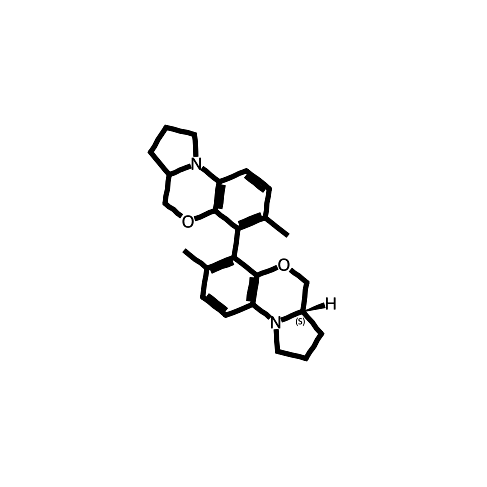 Cc1ccc2c(c1-c1c(C)ccc3c1OC[C@@H]1CCCN31)OCC1CCCN21